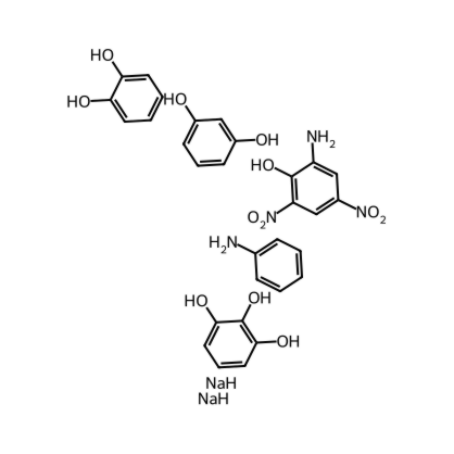 Nc1cc([N+](=O)[O-])cc([N+](=O)[O-])c1O.Nc1ccccc1.Oc1cccc(O)c1.Oc1cccc(O)c1O.Oc1ccccc1O.[NaH].[NaH]